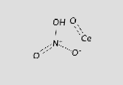 O=[N+]([O-])O.[O]=[Ce]